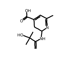 C=C(NC1CC(C(=O)O)=CC(C)=N1)C(C)(C)O